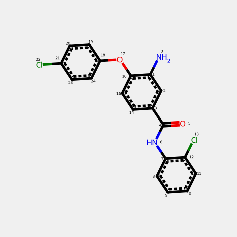 Nc1cc(C(=O)Nc2ccccc2Cl)ccc1Oc1ccc(Cl)cc1